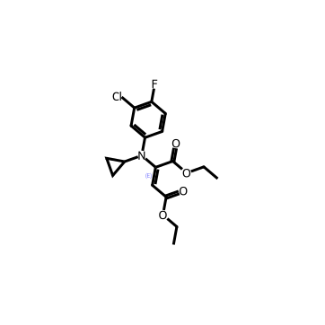 CCOC(=O)/C=C(\C(=O)OCC)N(c1ccc(F)c(Cl)c1)C1CC1